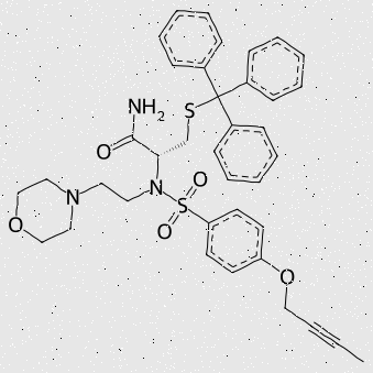 CC#CCOc1ccc(S(=O)(=O)N(CCN2CCOCC2)[C@@H](CSC(c2ccccc2)(c2ccccc2)c2ccccc2)C(N)=O)cc1